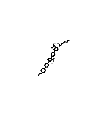 CCCCCCCOc1ccc(-c2ccc(-c3ccc(C4CCC(C5CCC(CCC)CC5)CC4)c(F)c3F)cc2)c(F)c1F